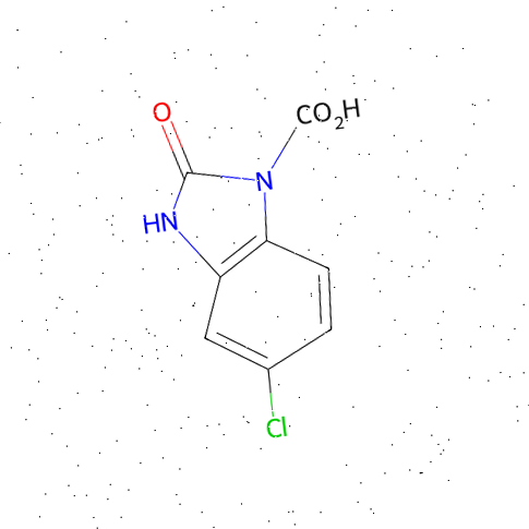 O=C(O)n1c(=O)[nH]c2cc(Cl)ccc21